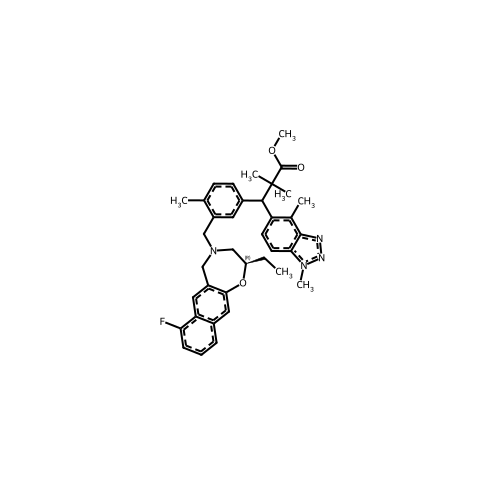 CC[C@@H]1CN(Cc2cc(C(c3ccc4c(nnn4C)c3C)C(C)(C)C(=O)OC)ccc2C)Cc2cc3c(F)cccc3cc2O1